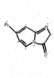 CC(C)C1=CC2=NCC(=O)N2C=C1